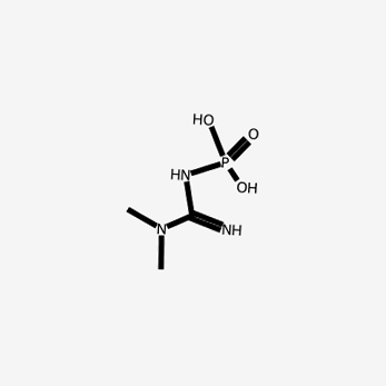 CN(C)C(=N)NP(=O)(O)O